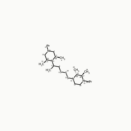 CC(C)N1C[C@@H](C)N(C(C)CSSSN2CCN(C(C)C)[C@H](C)[C@H]2C)[C@@H](C)C1